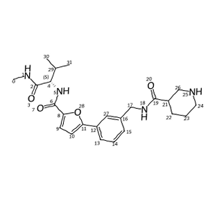 CNC(=O)[C@@H](NC(=O)c1ccc(-c2cccc(CNC(=O)C3CCCNC3)c2)o1)C(C)C